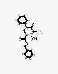 CON(C)C(=O)[C@@H](CNC(=O)OCc1ccccc1)c1ccccc1